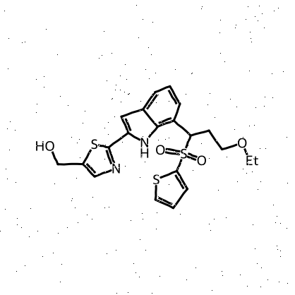 CCOCCC(c1cccc2cc(-c3ncc(CO)s3)[nH]c12)S(=O)(=O)c1cccs1